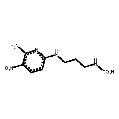 Nc1nc(NCCCNC(=O)O)ccc1[N+](=O)[O-]